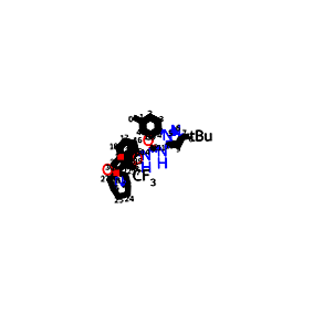 Cc1ccc(-n2nc(C(C)(C)C)cc2NC(=O)Nc2cccc(CC3CC4CCC(C3)N4C(=O)c3cc(C)oc3C(F)(F)F)c2)cc1